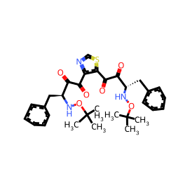 CC(C)(C)ON[C@@H](Cc1ccccc1)C(=O)C(=O)c1ncsc1C(=O)C(=O)[C@H](Cc1ccccc1)NOC(C)(C)C